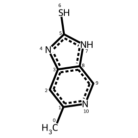 Cc1cc2nc(S)[nH]c2cn1